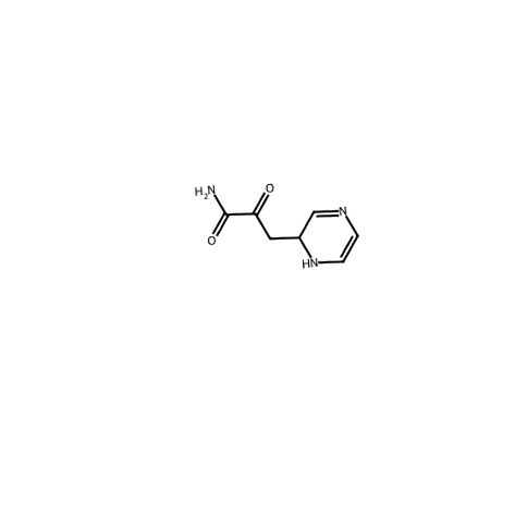 NC(=O)C(=O)CC1C=NC=CN1